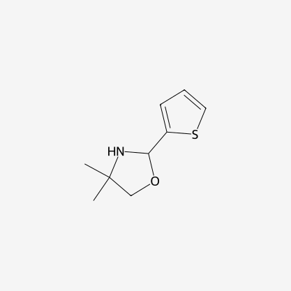 CC1(C)COC(c2cccs2)N1